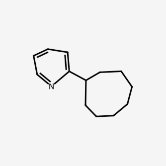 c1ccc(C2CCCCCCC2)nc1